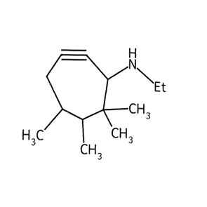 CCNC1C#CCC(C)C(C)C1(C)C